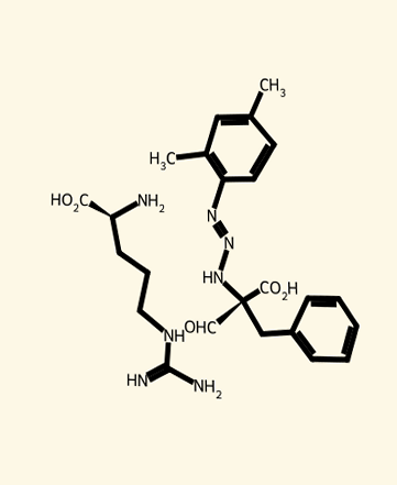 Cc1ccc(N=NN[C@@](C=O)(Cc2ccccc2)C(=O)O)c(C)c1.N=C(N)NCCC[C@H](N)C(=O)O